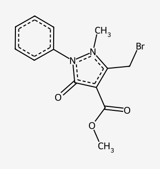 COC(=O)c1c(CBr)n(C)n(-c2ccccc2)c1=O